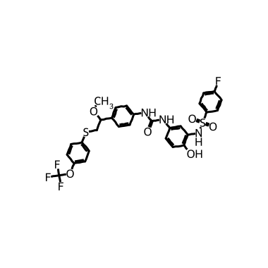 COC(CSc1ccc(OC(F)(F)F)cc1)c1ccc(NC(=O)Nc2ccc(O)c(NS(=O)(=O)c3ccc(F)cc3)c2)cc1